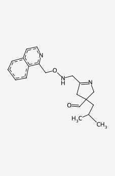 CC(C)CC1(C=O)CN=C(CNOCc2nccc3ccccc23)C1